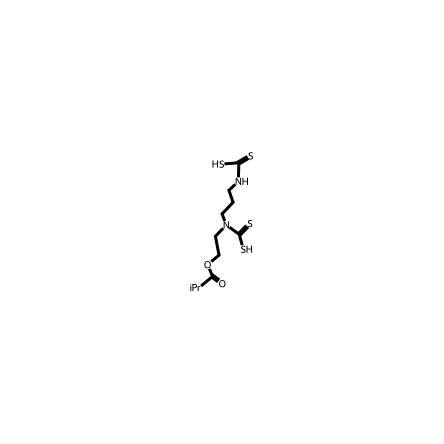 CC(C)C(=O)OCCN(CCCNC(=S)S)C(=S)S